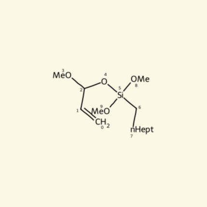 C=CC(OC)O[Si](CCCCCCCC)(OC)OC